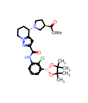 COC(=O)[C@@H]1CCN([C@H]2CCCn3nc(C(=O)Nc4cccc(B5OC(C)(C)C(C)(C)O5)c4Cl)cc32)C1